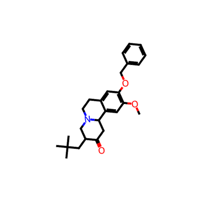 COc1cc2c(cc1OCc1ccccc1)CCN1CC(CC(C)(C)C)C(=O)CC21